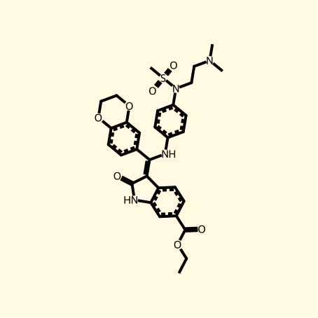 CCOC(=O)c1ccc2c(c1)NC(=O)C2=C(Nc1ccc(N(CCN(C)C)S(C)(=O)=O)cc1)c1ccc2c(c1)OCCO2